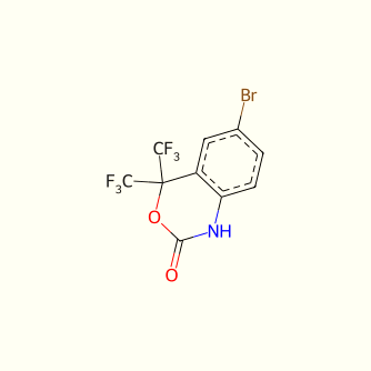 O=C1Nc2ccc(Br)cc2C(C(F)(F)F)(C(F)(F)F)O1